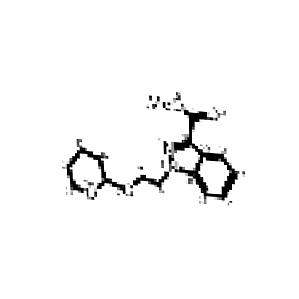 COC(=O)c1nn(CCOC2CCCCO2)c2ccccc12